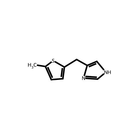 Cc1ccc(Cc2c[nH]cn2)s1